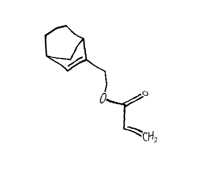 C=CC(=O)OCC1=CC2CCC1C2